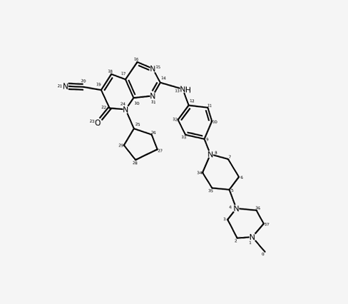 CN1CCN(C2CCN(c3ccc(Nc4ncc5cc(C#N)c(=O)n(C6CCCC6)c5n4)cc3)CC2)CC1